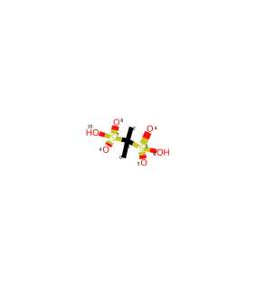 CC(C)(S(=O)(=O)O)S(=O)(=O)O